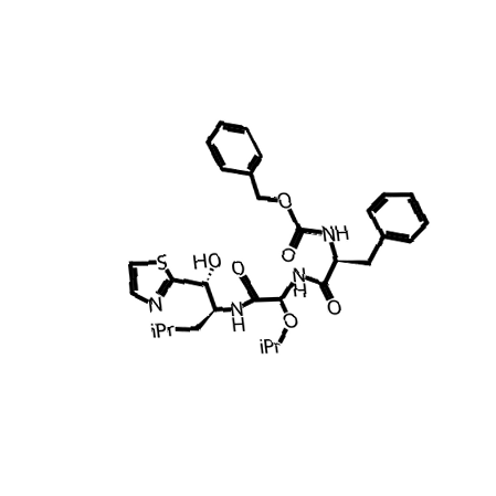 CC(C)C[C@H](NC(=O)C(NC(=O)[C@H](Cc1ccccc1)NC(=O)OCc1ccccc1)OC(C)C)[C@@H](O)c1nccs1